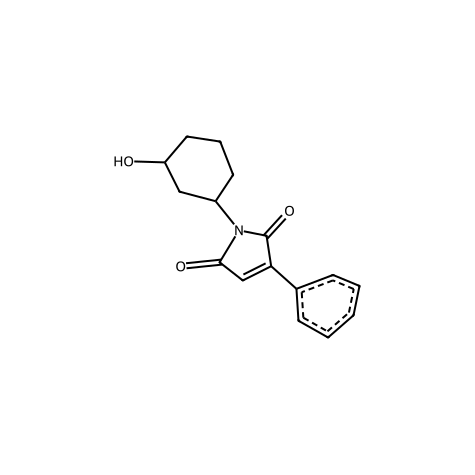 O=C1C=C(c2ccccc2)C(=O)N1C1CCCC(O)C1